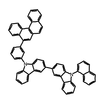 c1cc(-c2cc3ccc4ccccc4c3c3ccccc23)cc(-n2c3ccccc3c3cc(-c4ccc5c(c4)c4ccccc4n5-c4cccc5ccccc45)ccc32)c1